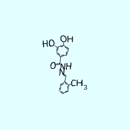 Cc1ccccc1C=NNC(=O)c1ccc(O)c(O)c1